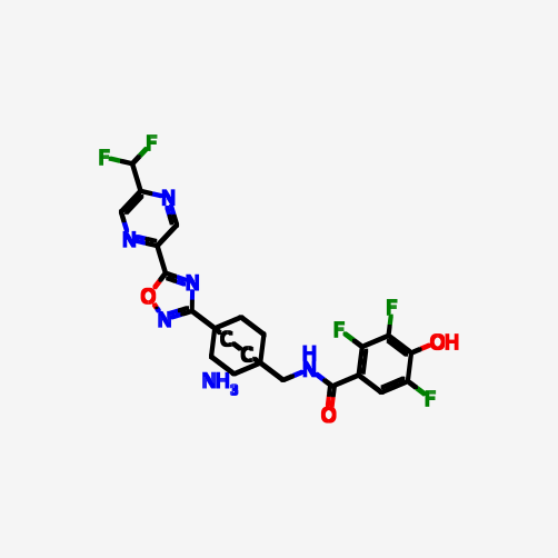 N.O=C(NCC12CCC(c3noc(-c4cnc(C(F)F)cn4)n3)(CC1)CC2)c1cc(F)c(O)c(F)c1F